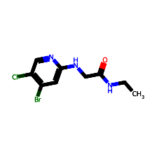 CCNC(=O)CNc1cc(Br)c(Cl)cn1